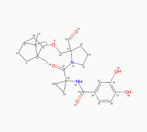 CC1(C)C2CCC1(C)C(OCC1(C=O)CCCN1C(=O)C1(NC(=O)c3ccc(O)c(O)c3)CC1)C2